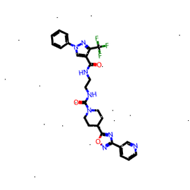 O=C(NCCNC(=O)N1CCC(c2nc(-c3cccnc3)no2)CC1)c1cn(-c2ccccc2)nc1C(F)(F)F